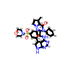 Cc1ccn2nc(C(C)Nc3ncnc4[nH]cc(-c5cccc(S(=O)(=O)N6CCOCC6)c5)c34)n(-c3ccccc3)c(=O)c12